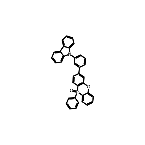 O=P1(c2ccccc2)c2ccccc2Oc2cc(-c3cccc(-n4c5ccccc5c5ccccc54)c3)ccc21